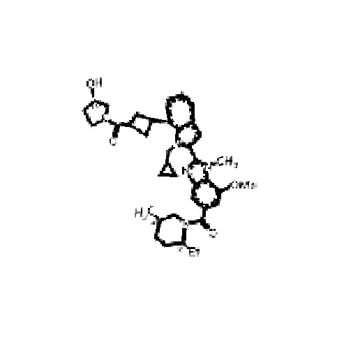 CC[C@H]1CC[C@@H](C)CN1C(=O)c1cc(OC)c2c(c1)nc(-c1cc3cccc(C4CC(C(=O)N5CC[C@@H](O)C5)C4)c3n1CC1CC1)n2C